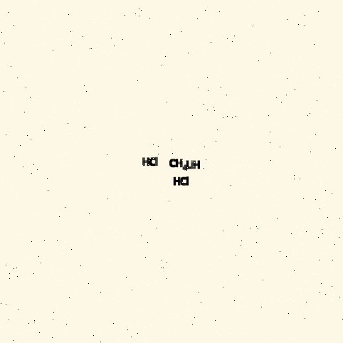 C.Cl.Cl.[LiH]